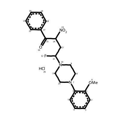 COc1ccccc1N1CCN(C(F)CC(C(=O)c2ccccc2)[N+](=O)[O-])CC1.Cl